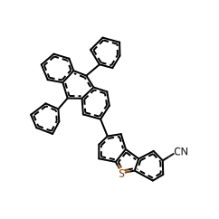 N#Cc1ccc2sc3ccc(-c4ccc5c(-c6ccccc6)c6ccccc6c(-c6ccccc6)c5c4)cc3c2c1